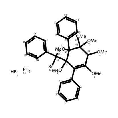 Br.COC1=C(c2ccccc2)C(OC)(C(Br)(Br)c2ccccc2)C(OC)(c2ccccc2)C(OC)(OC)C1OC.P